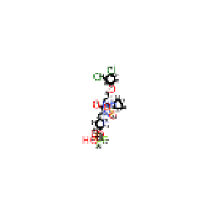 O=C(NCCCOc1ccc(Cl)c(Cl)c1)[C@H](Cc1ccc(OP(=O)(O)C(F)F)cc1)NS(=O)(=O)c1ccccc1